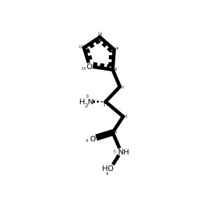 N[C@@H](CC(=O)NO)Cc1ccco1